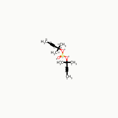 CC#CC(C)(C)OS(=O)OC(C)(C)C#CC